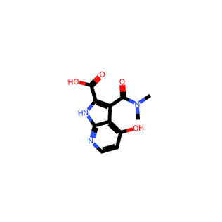 CN(C)C(=O)c1c(C(=O)O)[nH]c2nccc(O)c12